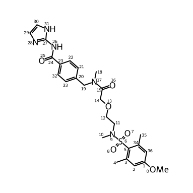 COc1cc(C)c(S(=O)(=O)N(C)CCOCC(=O)N(C)Cc2ccc(C(=O)Nc3ncc[nH]3)cc2)c(C)c1